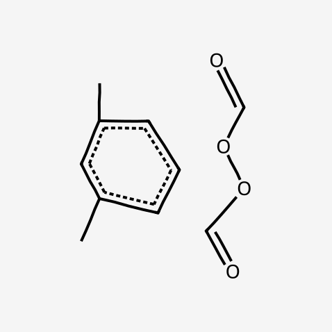 Cc1cccc(C)c1.O=COOC=O